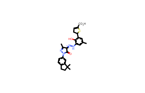 CC1=NN(c2ccc3c(c2)C(C)(C)CC3)C(=O)/C1=N\Nc1cc(C)cc(C2CC=C(C(=O)O)S2)c1O